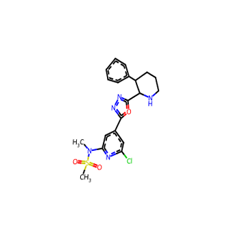 CN(c1cc(-c2nnc(C3NCCCC3c3ccccc3)o2)cc(Cl)n1)S(C)(=O)=O